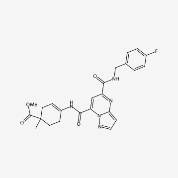 COC(=O)C1(C)CC=C(NC(=O)c2cc(C(=O)NCc3ccc(F)cc3)nc3ccnn23)CC1